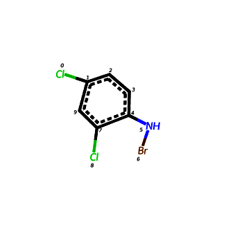 Clc1ccc(NBr)c(Cl)c1